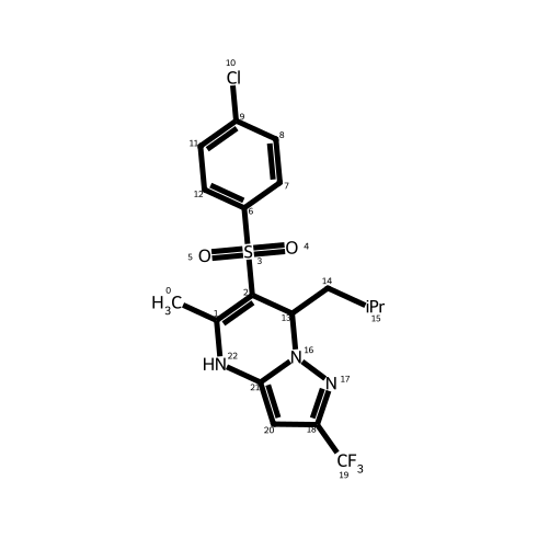 CC1=C(S(=O)(=O)c2ccc(Cl)cc2)C(CC(C)C)n2nc(C(F)(F)F)cc2N1